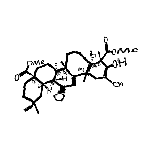 COC(=O)[C@]12CCC(C)(C)C[C@H]1[C@H]1C(=O)C=C3[C@@]4(C)CC(C#N)=C(O)[C@@](C)(C(=O)OC)[C@@H]4CC[C@@]3(C)[C@]1(C)CC2